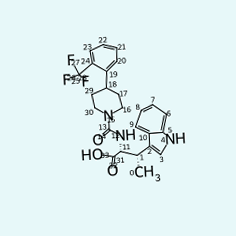 C[C@@H](c1c[nH]c2ccccc12)[C@@H](NC(=O)N1CCC(c2ccccc2C(F)(F)F)CC1)C(=O)O